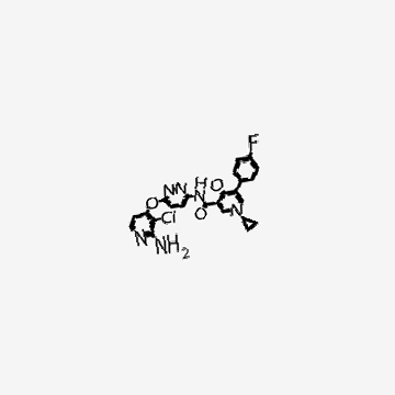 Nc1nccc(Oc2ccc(NC(=O)c3cn(C4CC4)cc(-c4ccc(F)cc4)c3=O)nn2)c1Cl